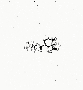 CC(C)(C)OC(=O)N1CCC(=O)C(C)(C(=O)O)C1